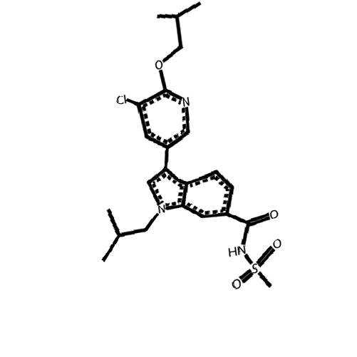 CC(C)COc1ncc(-c2cn(CC(C)C)c3cc(C(=O)NS(C)(=O)=O)ccc23)cc1Cl